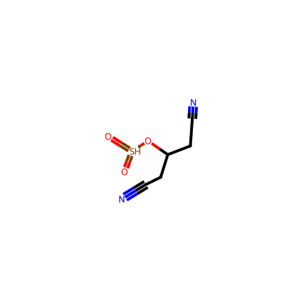 N#CCC(CC#N)O[SH](=O)=O